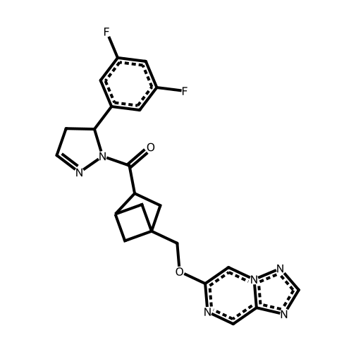 O=C(C1CC2(COc3cn4ncnc4cn3)CC1C2)N1N=CCC1c1cc(F)cc(F)c1